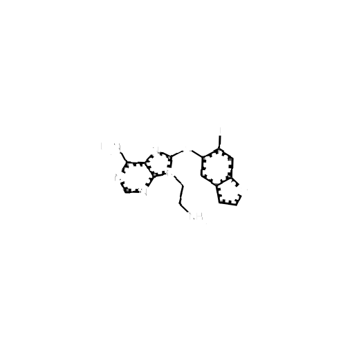 NCCn1c(Sc2cc3ccoc3cc2I)nc2c(N)ncnc21